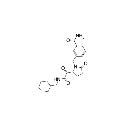 NC(=O)c1cccc(CN2C(=O)CCC2C(=O)C(=O)NCC2CCCCC2)c1